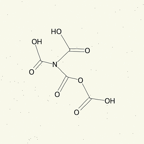 O=C(O)OC(=O)N(C(=O)O)C(=O)O